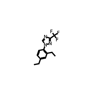 CCc1ccc(-n2cnc(C(F)(F)F)n2)c(CC)c1